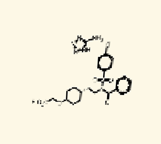 CCOC(=O)CO[C@H]1CC[C@H](CCN(C(=O)c2ccccc2)S(=O)(=O)c2ccc(Cl)cc2)CC1.Nc1nnn[nH]1